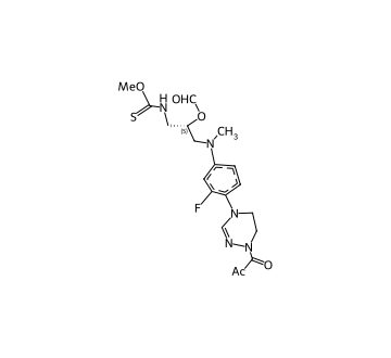 COC(=S)NC[C@@H](CN(C)c1ccc(N2C=NN(C(=O)C(C)=O)CC2)c(F)c1)OC=O